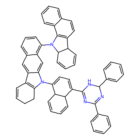 C1=CC2C(C3=NC(c4ccccc4)=NC(c4ccccc4)N3)=CC=C(n3c4c(c5cc6cccc(N7c8c(ccc9ccccc89)C8C=CC=CC87)c6cc53)C=CCC4)C2C=C1